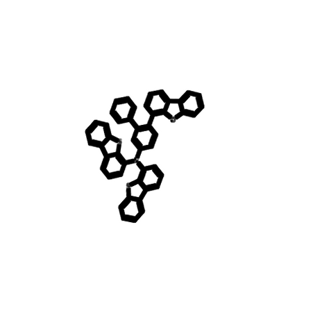 c1ccc(-c2cc(N(c3cccc4c3sc3ccccc34)c3cccc4c3sc3ccccc34)ccc2-c2cccc3c2oc2ccccc23)cc1